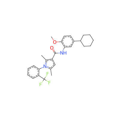 COc1ccc(C2CCCCC2)cc1NC(=O)c1cc(C)n(-c2ccccc2C(F)(F)F)c1C